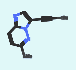 CNc1ccc2ncc(C#CC(C)(C)C)n2n1